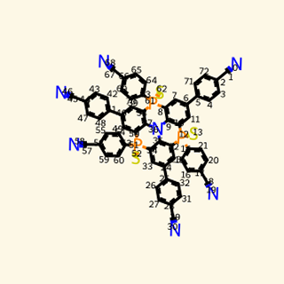 N#Cc1ccc(-c2cc3c4c(c2)P(=S)(c2ccc(C#N)cc2)c2cc(-c5ccc(C#N)cc5)cc5c2N4c2c(cc(-c4ccc(C#N)cc4)cc2P5(=S)c2ccc(C#N)cc2)P3(=S)c2ccc(C#N)cc2)cc1